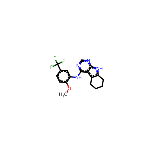 COc1ccc(C(F)(F)F)cc1Nc1ncnc2[nH]c3c(c12)CCCC3